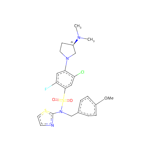 COc1ccc(CN(c2nccs2)S(=O)(=O)c2cc(Cl)c(N3CC[C@@H](N(C)C)C3)cc2F)cc1